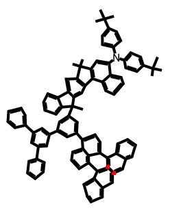 CC(C)(C)c1ccc(N(c2ccc(C(C)(C)C)cc2)c2cc3c(c4ccccc24)-c2cc4c(cc2C3(C)C)-c2ccccc2C4(C)c2cc(-c3cc(-c4ccccc4)cc(-c4ccccc4)c3)cc(-c3ccc(-c4cccc5ccccc45)c4c(-c5cccc6ccccc56)cccc34)c2)cc1